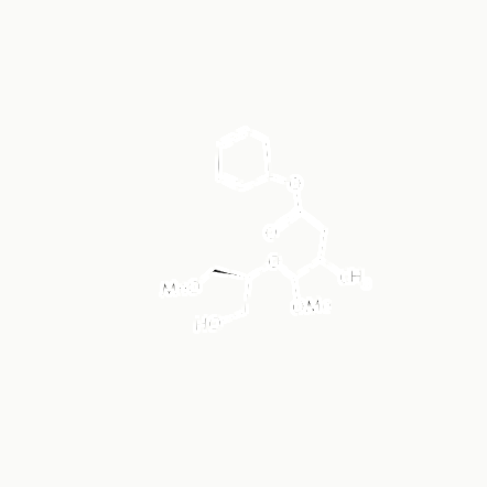 COC[C@H](CO)OC(OC)C(C)CC(=O)OC1C=CC=CC1